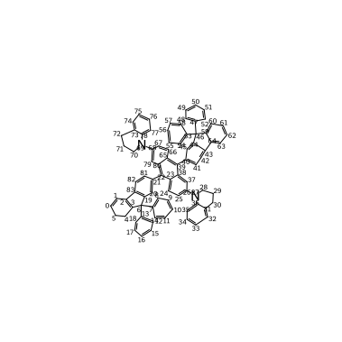 C1=CC2=C(CC1)C(c1ccccc1)(c1ccccc1)c1cc(-c3c4ccc(N5CCCc6ccccc65)cc4c(-c4ccc5c(c4)C(c4ccccc4)(c4ccccc4)c4ccccc4-5)c4ccc(N5CCCc6ccccc65)cc34)ccc12